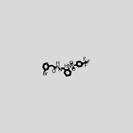 O=C(Cc1cccc(Br)c1)NN=Cc1ccccc1NS(=O)(=O)c1ccc(C(F)(F)F)cc1